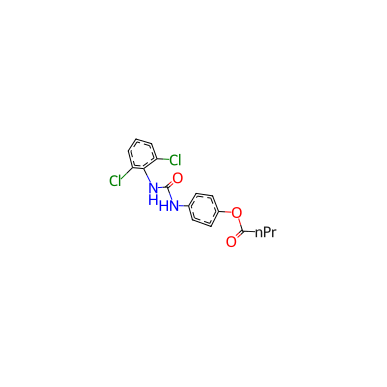 CCCC(=O)Oc1ccc(NC(=O)Nc2c(Cl)cccc2Cl)cc1